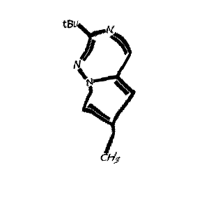 Cc1cc2cnc(C(C)(C)C)nn2c1